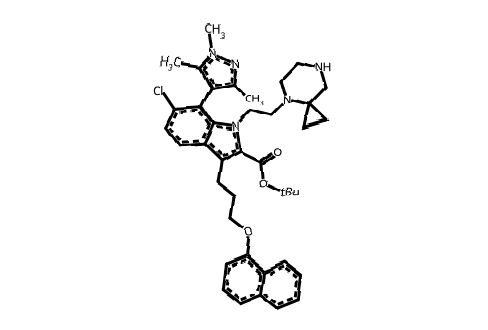 Cc1nn(C)c(C)c1-c1c(Cl)ccc2c(CCCOc3cccc4ccccc34)c(C(=O)OC(C)(C)C)n(CCN3CCNCC34CC4)c12